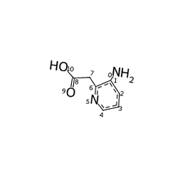 Nc1cccnc1CC(=O)O